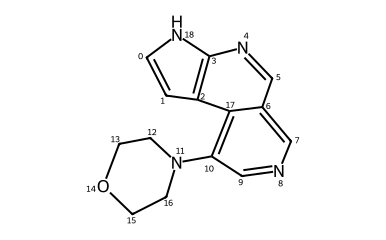 c1cc2c(ncc3cncc(N4CCOCC4)c32)[nH]1